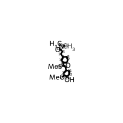 COc1cc(-c2oc3ccc(CCC(=O)N(C)C)cc3c2SC)ccc1O